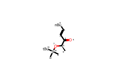 CCCC/C=C/C(=O)[C@@H](C)O[Si](C)(C)C(C)(C)C